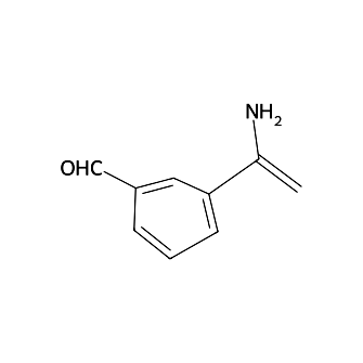 C=C(N)c1cccc(C=O)c1